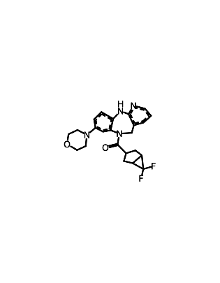 O=C(C1CC2C(C1)C2(F)F)N1Cc2cccnc2Nc2ccc(N3CCOCC3)cc21